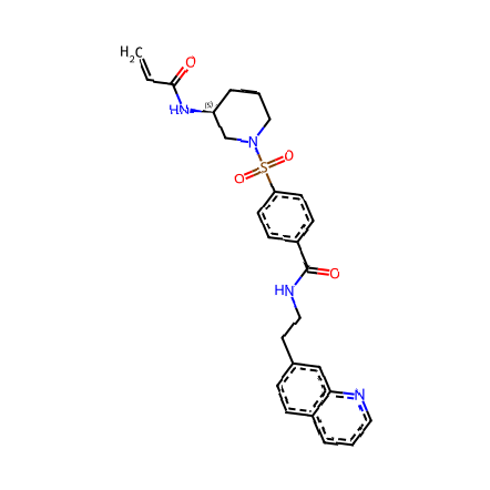 C=CC(=O)N[C@H]1CCCN(S(=O)(=O)c2ccc(C(=O)NCCc3ccc4cccnc4c3)cc2)C1